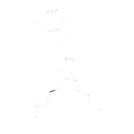 COC(=O)/C=C/[C@@H]1CN(C(=O)OC(C)(C)C)C[C@H]1NC(=O)OCc1ccccc1